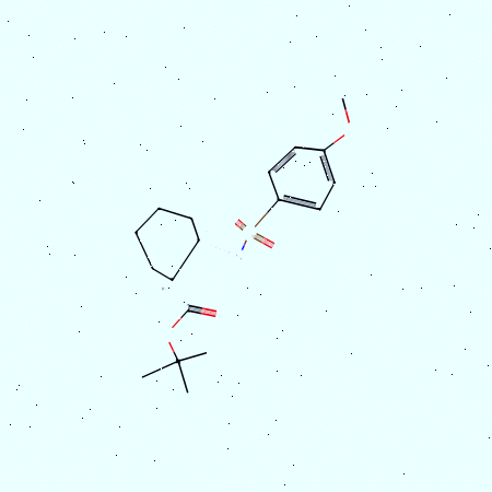 COc1ccc(S(=O)(=O)N[C@H]2CCCC[C@H]2C(=O)OC(C)(C)C)cc1